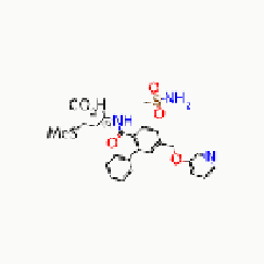 CS(N)(=O)=O.CSCC[C@H](NC(=O)c1ccc(COc2cccnc2)cc1-c1ccccc1)C(=O)O